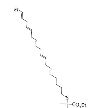 CCC=CCC=CCC=CCC=CCC=CCCCCSC(C)(C)C(=O)OCC